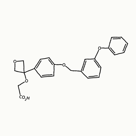 O=C(O)COC1(c2ccc(OCc3cccc(Oc4ccccc4)c3)cc2)COC1